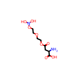 NC(CC(=O)OCCOCCON(O)O)C(=O)O